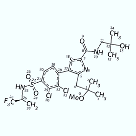 COC(C)(C)Cc1nc(C(=O)NCC(C)(C)O)sc1-c1ccc(S(=O)(=O)N[C@@H](C)C(F)(F)F)c(Cl)c1Cl